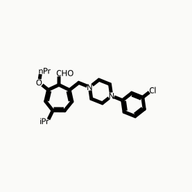 CCCOC1=CC(C(C)C)=CC=C(CN2CCN(c3cccc(Cl)c3)CC2)C1C=O